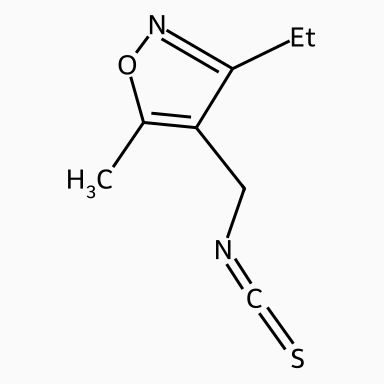 CCc1noc(C)c1CN=C=S